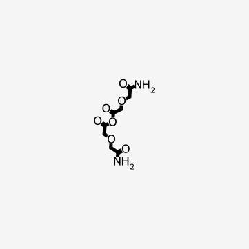 NC(=O)COCC(=O)OC(=O)COCC(N)=O